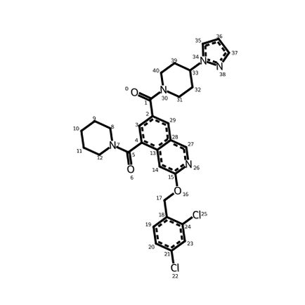 O=C(c1cc(C(=O)N2CCCCC2)c2cc(OCc3ccc(Cl)cc3Cl)ncc2c1)N1CCC(n2cccn2)CC1